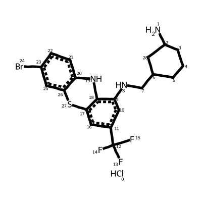 Cl.NC1CCCC(CNc2cc(C(F)(F)F)cc3c2Nc2ccc(Br)cc2S3)C1